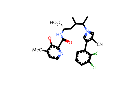 COc1ccnc(C(=O)N[C@@H](CC(C)C(C)n2cc(C#N)c(-c3cccc(Cl)c3Cl)c2)C(=O)O)c1O